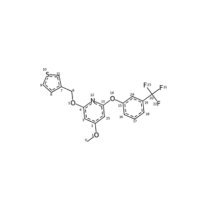 COc1cc(OCc2ccsc2)nc(Oc2cccc(C(F)(F)F)c2)c1